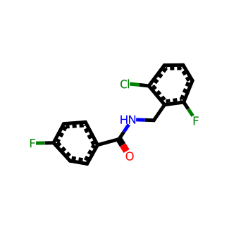 O=C(NCc1c(F)cccc1Cl)c1ccc(F)cc1